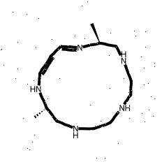 C[C@H]1CNCCNCCNC[C@H](C)N/C=C\C=N\1